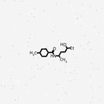 CCC(O)CCC(C)NC(=O)C1CCC(C)CC1